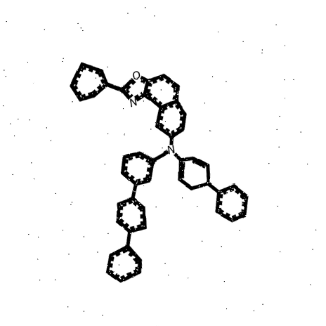 C1=CC(c2ccccc2)CC=C1N(c1cccc(-c2ccc(-c3ccccc3)cc2)c1)c1ccc2ccc3oc(-c4ccccc4)nc3c2c1